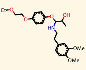 CCOCCOc1ccc(OC(NCCc2ccc(OC)c(OC)c2)C(C)O)cc1